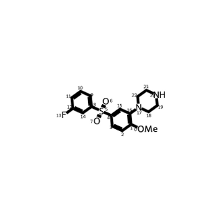 COc1ccc(S(=O)(=O)c2cccc(F)c2)cc1N1CCNCC1